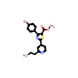 CCCc1cc(-c2nc(-c3ccc(Br)cc3)c(C(=O)OC)s2)ccn1